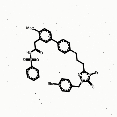 CCn1c(CCCc2ccc(-c3ccc(OC)c(CC(=O)NS(=O)(=O)c4ccccc4)c3)cc2)nn(Cc2ccc(C(C)(C)C)cc2)c1=O